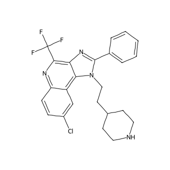 FC(F)(F)c1nc2ccc(Cl)cc2c2c1nc(-c1ccccc1)n2CCC1CCNCC1